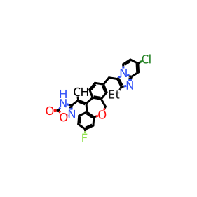 CCc1nc2cc(Cl)ccn2c1Cc1ccc2c(c1)COc1cc(F)ccc1C2=C(C)c1noc(=O)[nH]1